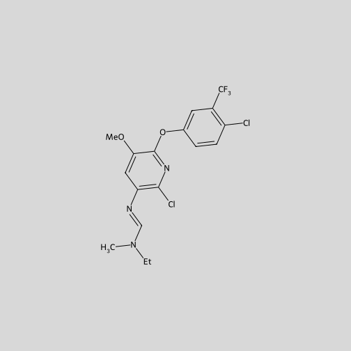 CCN(C)/C=N/c1cc(OC)c(Oc2ccc(Cl)c(C(F)(F)F)c2)nc1Cl